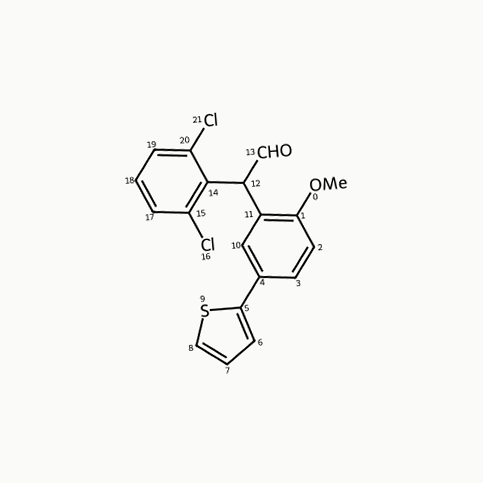 COc1ccc(-c2cccs2)cc1C(C=O)c1c(Cl)cccc1Cl